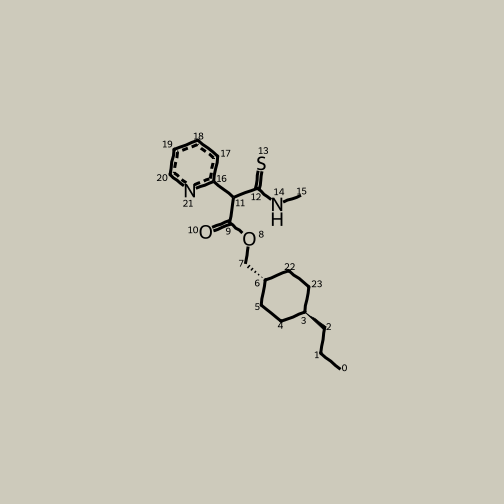 CCC[C@H]1CC[C@H](COC(=O)C(C(=S)NC)c2ccccn2)CC1